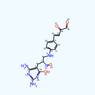 Nc1nc(N)c(CC(CNc2ccc(/C=C/C(=O)C=O)cc2)N=O)c(O)n1